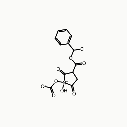 O=C([O-])O[N+]1(O)C(=O)CC(C(=O)OC(Cl)c2ccccc2)C1=O